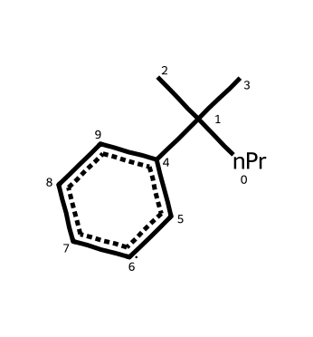 CCCC(C)(C)c1c[c]ccc1